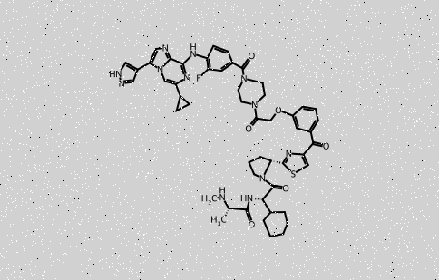 CN[C@@H](C)C(=O)N[C@H](C(=O)N1CCC[C@@H]1c1nc(C(=O)c2cccc(OCC(=O)N3CCN(C(=O)c4ccc(Nc5nc(C6CC6)cn6c(-c7cn[nH]c7)cnc56)c(F)c4)CC3)c2)cs1)C1CCCCC1